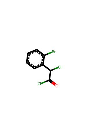 O=C(Cl)C(Cl)c1ccccc1Br